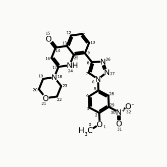 COc1ccc(-n2cc(-c3cccc4c(=O)cc(N5CCOCC5)[nH]c34)nn2)cc1[N+](=O)[O-]